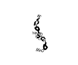 CCOCCN1CCN(c2ccc(-c3nc4c(NC5CCN(Cc6ccc(OC)cc6)CC5)c(Cl)cnc4[nH]3)cc2)CC1